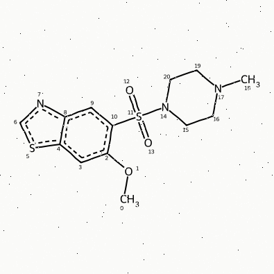 COc1cc2scnc2cc1S(=O)(=O)N1CCN(C)CC1